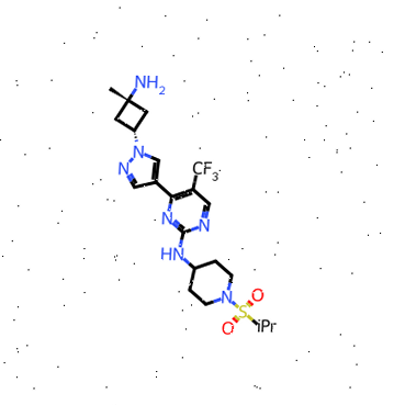 CC(C)S(=O)(=O)N1CCC(Nc2ncc(C(F)(F)F)c(-c3cnn([C@H]4C[C@@](C)(N)C4)c3)n2)CC1